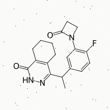 CC(c1ccc(F)c(N2CCC2=O)c1)c1n[nH]c(=O)c2c1CCCC2